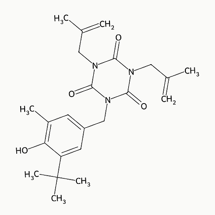 C=C(C)Cn1c(=O)n(CC(=C)C)c(=O)n(Cc2cc(C)c(O)c(C(C)(C)C)c2)c1=O